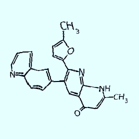 Cc1cc(=O)c2cc(-c3ccc4ncccc4c3)c(-c3ccc(C)o3)nc2[nH]1